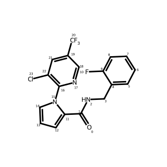 O=C(NCc1ccccc1F)c1cccn1-c1ncc(C(F)(F)F)cc1Cl